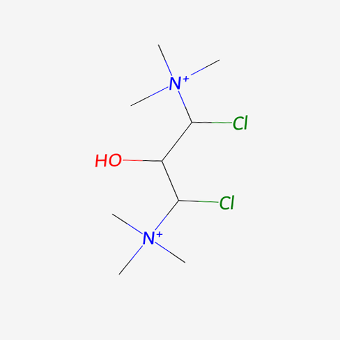 C[N+](C)(C)C(Cl)C(O)C(Cl)[N+](C)(C)C